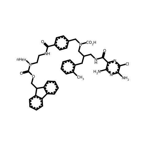 CCCCCCN(CCNC(=O)c1ccc(CN(CC(CNC(=O)c2nc(Cl)c(N)nc2N)Cc2ccccc2C)C(=O)O)cc1)C(=O)OCC1c2ccccc2-c2ccccc21